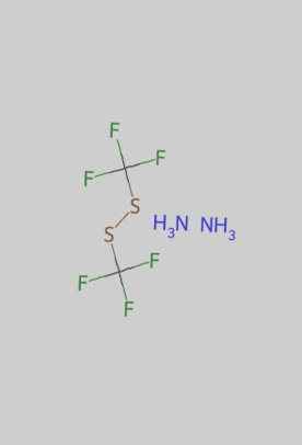 FC(F)(F)SSC(F)(F)F.N.N